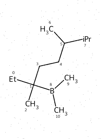 CCC(C)(CCC(C)C(C)C)B(C)C